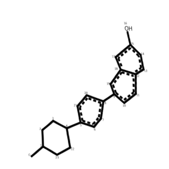 CC1CCC(c2ccc(-c3ccc4ccc(O)cc4c3)cc2)CC1